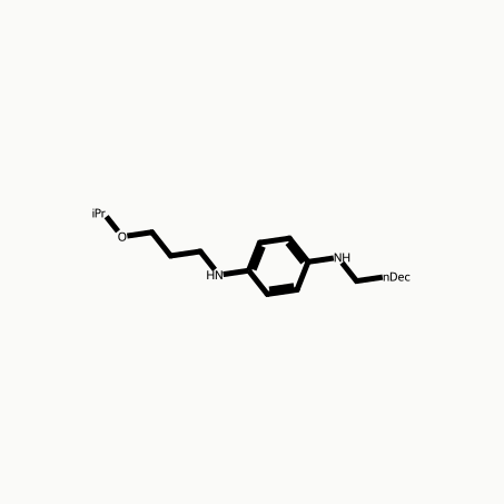 CCCCCCCCCCCNc1ccc(NCCCOC(C)C)cc1